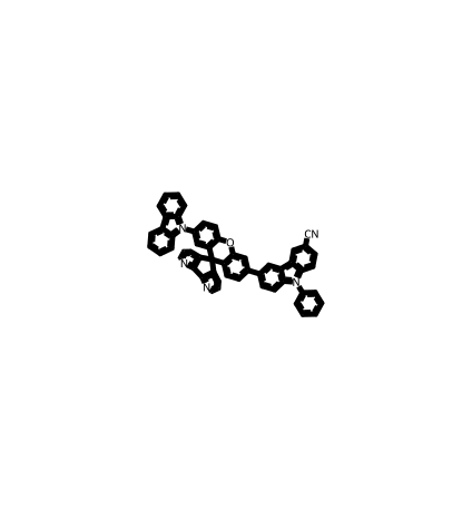 N#Cc1ccc2c(c1)c1cc(-c3ccc4c(c3)Oc3ccc(-n5c6ccccc6c6ccccc65)cc3C43c4cccnc4-c4ncccc43)ccc1n2-c1ccccc1